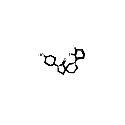 O=C1N(C2CCC(O)CC2)CCC12CCCN(c1cccc(F)c1F)C2